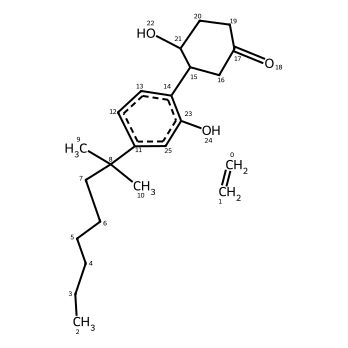 C=C.CCCCCCC(C)(C)c1ccc(C2CC(=O)CCC2O)c(O)c1